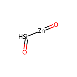 O=[SiH][Zn]=[O]